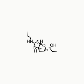 CCCNC1=N[C@@H]2CC[C@H](C(O)CC)O[C@@H]2S1